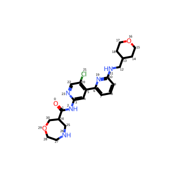 O=C(Nc1cc(-c2cccc(NCC3CCOCC3)n2)c(Cl)cn1)C1CNCCOC1